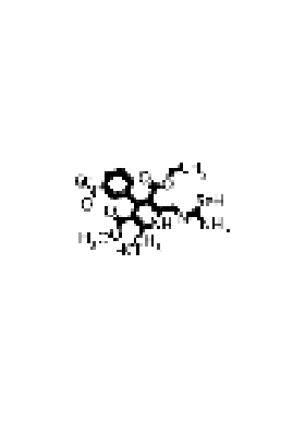 CCOC(=O)C1=C(CN=C(N)[SeH])NC(C)=C(C(=O)OC)C1c1cccc([N+](=O)[O-])c1.Cl